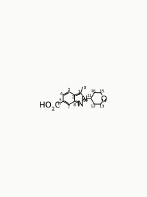 Cc1c2ccc(C(=O)O)cc2nn1C1CCOCC1